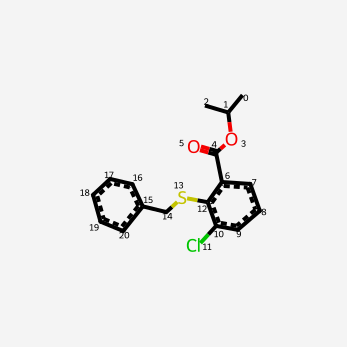 CC(C)OC(=O)c1cccc(Cl)c1SCc1ccccc1